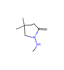 C=C1CC(C)(C)CN1NC